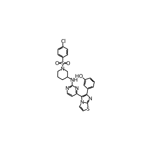 O=S(=O)(c1ccc(Cl)cc1)N1CCCC(Nc2nccc(-c3c(-c4cccc(O)c4)nc4sccn34)n2)C1